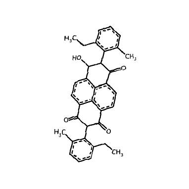 CCc1cccc(C)c1C1C(=O)c2ccc3c4c(ccc(c24)C1=O)C(O)C(c1c(C)cccc1CC)C3=O